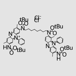 Cc1cc2nc3cc(C)c(N(CCCCCCCCN(C(=O)OC(C)(C)C)c4ccc5nc6cc(C)c(NC(=O)OC(C)(C)C)cc6[n+](-c6ccccc6)c5c4C)C(=O)OC(C)(C)C)cc3[n+](-c3ccccc3)c2cc1NC(=O)OC(C)(C)C.[Cl-].[Cl-]